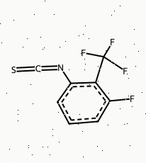 Fc1cccc(N=C=S)c1C(F)(F)F